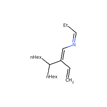 C=C/C(=C\N=C/CC)C(CCCCCC)CCCCCC